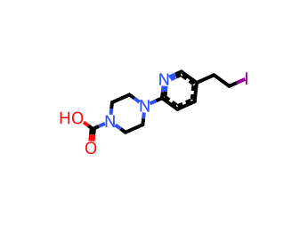 O=C(O)N1CCN(c2ccc(CCI)cn2)CC1